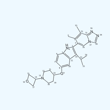 Cc1c(-c2[nH]c3ccc(OC4CCN(C5COC5)CC4)cc3c2C(C)C)cn2cnnc2c1C